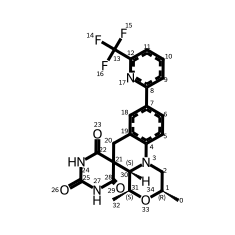 C[C@@H]1CN2c3ccc(-c4cccc(C(F)(F)F)n4)cc3CC3(C(=O)NC(=O)NC3=O)[C@H]2[C@H](C)O1